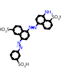 Nc1ccc(/N=N/c2ccc(/N=N/c3cccc(S(=O)(=O)O)c3)c3cc(S(=O)(=O)O)ccc23)c2cccc(S(=O)(=O)O)c12